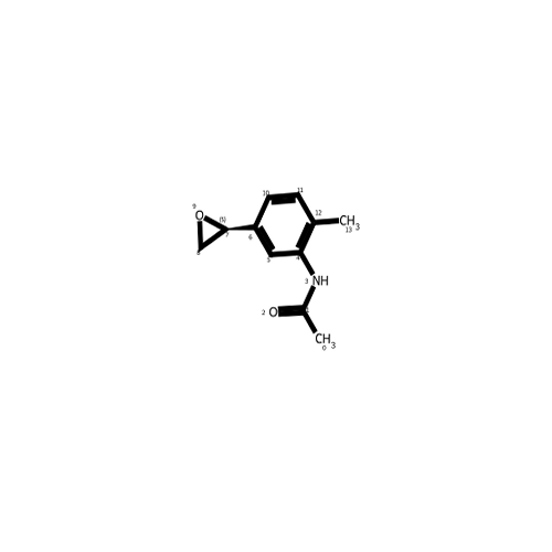 CC(=O)Nc1cc([C@H]2CO2)ccc1C